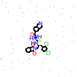 O=C(NNC(=S)N[C@@H](Cc1ccc(Cl)cc1Cl)CN1C(=O)c2ccccc2C1=O)c1ccc2cnccc2c1